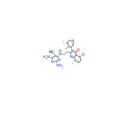 Cc1c(F)cncc1-n1c(CCNc2nc(N)nc(N)c2C#N)nc2c(F)ccc(Cl)c2c1=O